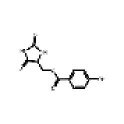 O=C1NC(=O)C(COC(=O)c2ccc(O)cc2)N1